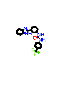 O=C(Nc1ccc(C(F)(F)F)cc1)NC1CCCC(c2nc3ccccc3[nH]2)C1